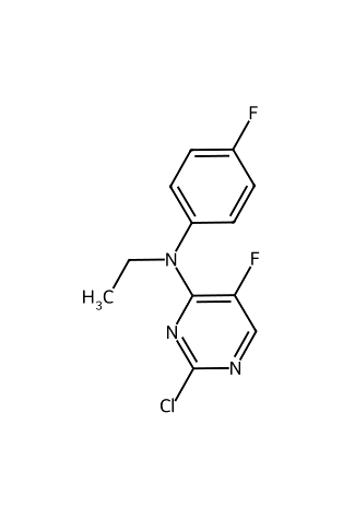 CCN(c1ccc(F)cc1)c1nc(Cl)ncc1F